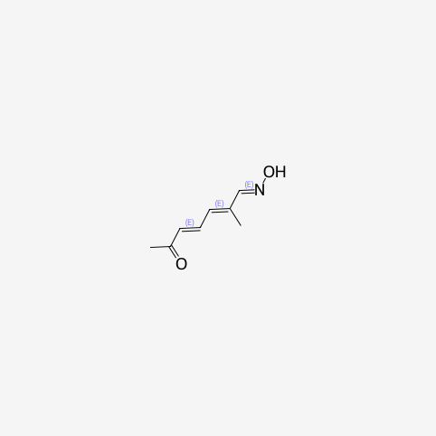 CC(=O)/C=C/C=C(C)/C=N/O